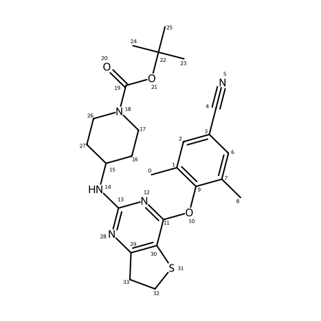 Cc1cc(C#N)cc(C)c1Oc1nc(NC2CCN(C(=O)OC(C)(C)C)CC2)nc2c1SCC2